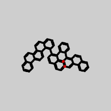 c1ccc(-c2cccc3c2ccc2ccccc23)c(-c2c(-c3cccc4ccc5c6ccc7ccccc7c6ccc5c34)ccc3ccccc23)c1